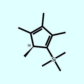 CC1=C(C)[C@H](C)C([Si](C)(C)C)=C1C